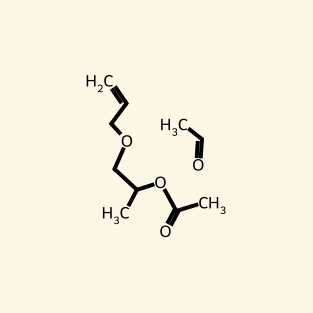 C=CCOCC(C)OC(C)=O.CC=O